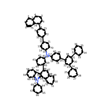 c1ccc2cccc(-c3ccc(-c4ccc(N(c5ccc(-c6cc(-c7ccccc7)cc(-c7ccccc7)c6)cc5)c5cccc(-c6cc7ccccc7c7c6c6ccccc6n7-c6ccccc6)c5)cc4)cc3)c2c#1